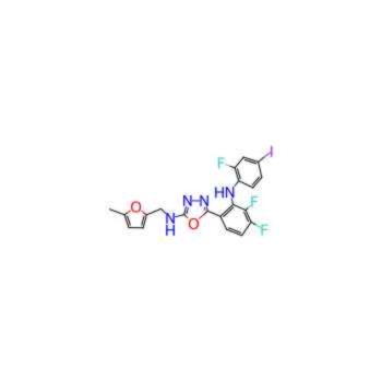 Cc1ccc(CNc2nnc(-c3ccc(F)c(F)c3Nc3ccc(I)cc3F)o2)o1